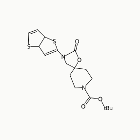 CC(C)(C)OC(=O)N1CCC2(CC1)CN(C1=CC3SC=CC3S1)C(=O)O2